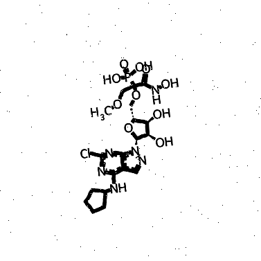 COCC(OC[C@H]1O[C@@H](n2ncc3c(NC4CCCC4)nc(Cl)nc32)[C@H](O)[C@@H]1O)(C(=O)NO)P(=O)(O)O